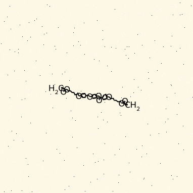 C=CC(=O)OCCCCCCOc1ccc(COc2ccc(OC(=O)c3ccc(OCCCCCCOC(=O)C=C)cc3)cc2)cc1